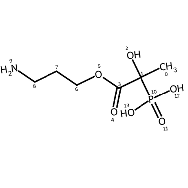 CC(O)(C(=O)OCCCN)P(=O)(O)O